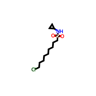 O=S(=O)(CCCCCCCCCCl)NC1CC1